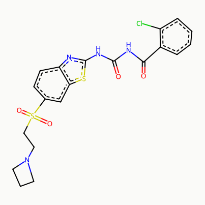 O=C(NC(=O)c1ccccc1Cl)Nc1nc2ccc(S(=O)(=O)CCN3CCC3)cc2s1